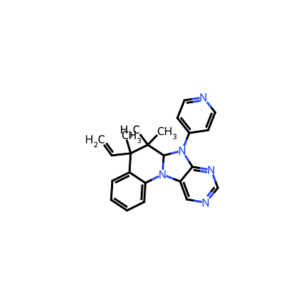 C=CC1(C)c2ccccc2N2c3cncnc3N(c3ccncc3)C2C1(C)C